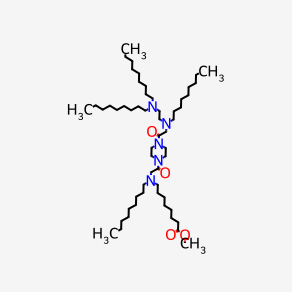 CCCCCCCCCN(CCCCCCCCC)CCN(CCCCCCCCC)CC(=O)N1CCN(C(=O)CN(CCCCCCCCC)CCCCCCCC(=O)OC)CC1